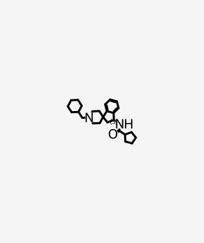 O=C(N[C@H]1CC2(CCN(CC3CCCCC3)CC2)c2ccccc21)C1CCCC1